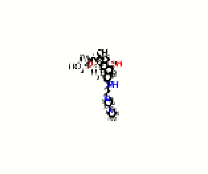 CC(C)[C@@H](CC[C@@H](C)[C@H]1CCC2C3C(CC[C@@]21C)[C@@]1(C)CC[C@H](NCCCN2CCC(N4CCCCC4)CC2)C[C@H]1C[C@H]3O)OS(=O)(=O)O